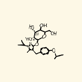 Cc1c(Cc2ccc(OC(C)C)cc2)c(OC2OC(CO)C(O)[C@H](O)[C@H]2O)nn1C(C)C